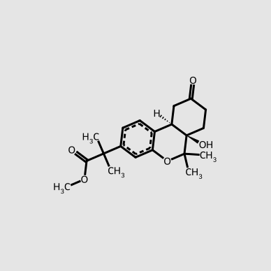 COC(=O)C(C)(C)c1ccc2c(c1)OC(C)(C)[C@@]1(O)CCC(=O)C[C@H]21